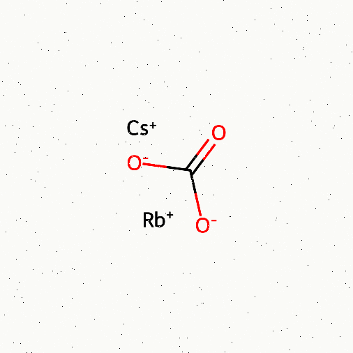 O=C([O-])[O-].[Cs+].[Rb+]